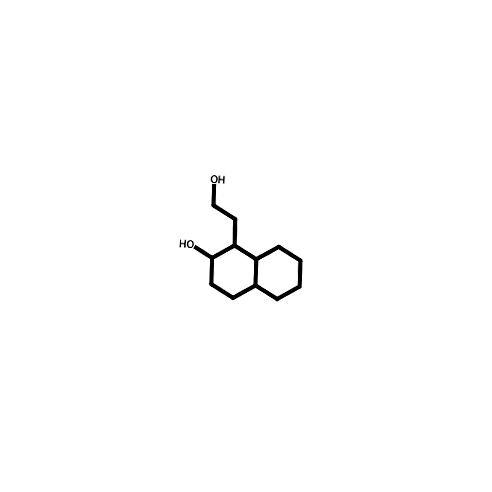 OCCC1C(O)CCC2CCCCC21